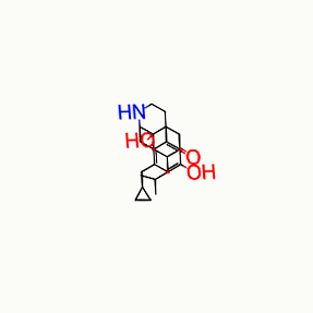 CC(C)CC1CC2(O)C3Cc4c(CC5CC5)cc(O)cc4C2(CCN3)CC1=O